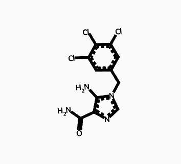 NC(=O)c1ncn(Cc2cc(Cl)c(Cl)c(Cl)c2)c1N